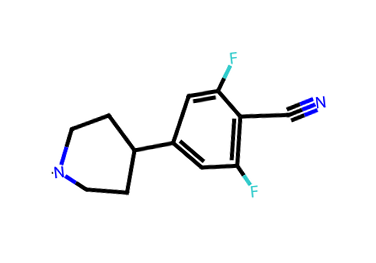 N#Cc1c(F)cc(C2CC[N]CC2)cc1F